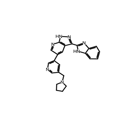 c1ccc2[nH]c(-c3n[nH]c4ncc(-c5cncc(CN6CCCC6)c5)cc34)nc2c1